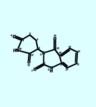 O=C1CCC(n2c(=O)[nH]c3ccccc3c2=O)C(=O)N1